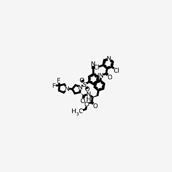 CCOC(=O)[C@H](Cc1ccc(NC(=O)c2c(Cl)cncc2Cl)cc1)NC(=O)[C@@H]1CC(N2CCC(F)(F)C2)CN1S(=O)(=O)c1cccc(C#N)c1